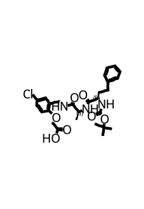 C[C@H](NC(=O)[C@@H](CCc1ccccc1)NC(=O)OC(C)(C)C)C(=O)NCc1cc(Cl)ccc1OCC(=O)O